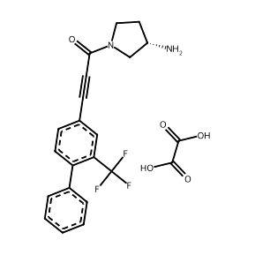 N[C@H]1CCN(C(=O)C#Cc2ccc(-c3ccccc3)c(C(F)(F)F)c2)C1.O=C(O)C(=O)O